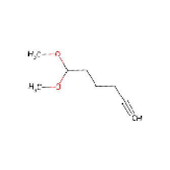 C#CCCCC(OC)OC